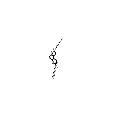 CCCCCCCCOc1ccc2c(ccc3nc(OCCCCCC)ccc32)n1